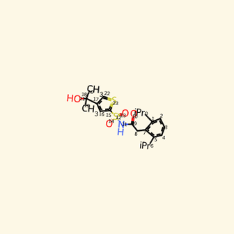 CC(C)c1cccc(C(C)C)c1CC(=O)NS(=O)(=O)c1cc(C(C)(C)O)cs1